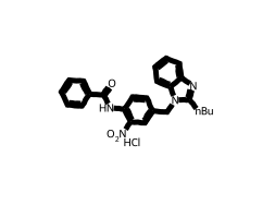 CCCCc1nc2ccccc2n1Cc1ccc(NC(=O)c2ccccc2)c([N+](=O)[O-])c1.Cl